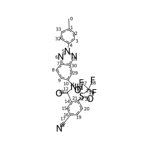 Cc1ccc(-n2nc3ccc(NC(=O)c4cc(C#N)ccc4S(=O)(=O)C(F)(F)F)cc3n2)cc1